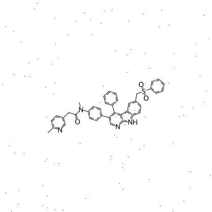 Cc1ccc(CC(=O)N(C)c2ccc(-c3cnc4[nH]c5ccc(CS(=O)(=O)c6ccccc6)cc5c4c3-c3ccccc3)cc2)cn1